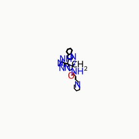 C=C1c2c(-c3cnc4ccccc4c3)c3c(N)ncnc3n2C[C@H]1NC(=O)/C=C/CN1CCCCC1